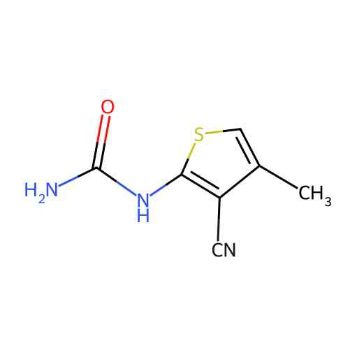 Cc1csc(NC(N)=O)c1C#N